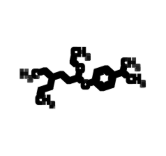 C=CCC(CC)CCC(OCC)Oc1ccc(C(C)C)cc1